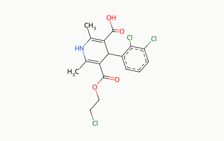 CC1=C(C(=O)O)C(c2cccc(Cl)c2Cl)C(C(=O)OCCCl)=C(C)N1